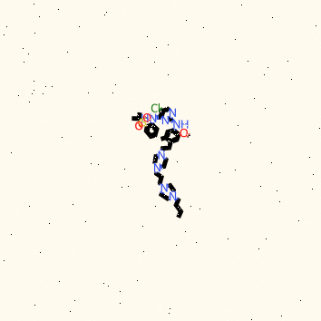 CCCCN1CCN(CCCN2CCN(CCc3cc(OC)c(Nc4ncc(Cl)c(Nc5ccccc5S(=O)(=O)C(C)C)n4)cc3C)CC2)CC1